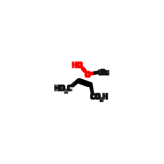 CC(C)(C)OO.O=C(O)/C=C\C(=O)O